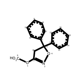 O=C(O)OC1=NOC(c2ccccc2)(c2ccccc2)C1